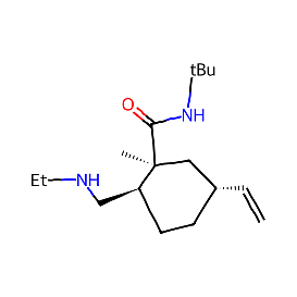 C=C[C@@H]1CC[C@@H](CNCC)[C@@](C)(C(=O)NC(C)(C)C)C1